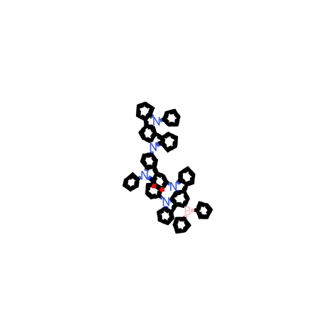 c1ccc(B(c2ccccc2)c2cc3c4ccccc4n(-c4ccc5c(c4)c4cc(-n6c7ccccc7c7c6ccc6c8ccccc8n(-c8ccccc8)c67)ccc4n5-c4ccccc4)c3c3c2c2ccccc2n3-c2ccccc2)cc1